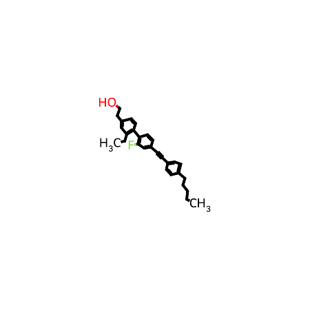 CCCCCc1ccc(C#Cc2ccc(-c3ccc(CCO)cc3CC)c(F)c2)cc1